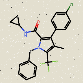 Cc1c(-c2ccc(Cl)cc2)c(C(=O)NC2CC2)n(Cc2ccccc2)c1C(F)(F)F